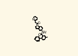 Cc1ccc(-c2ccccc2)c(C(=O)Nc2ccc3c(c2)CCN3C(=O)Cc2ccccn2)c1